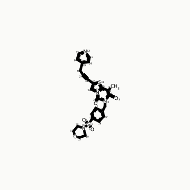 Cc1c(=O)n(Cc2ccc(S(=O)(=O)N3CCOCC3)cc2)c(=O)n2cc(C#CCc3ccncc3)sc12